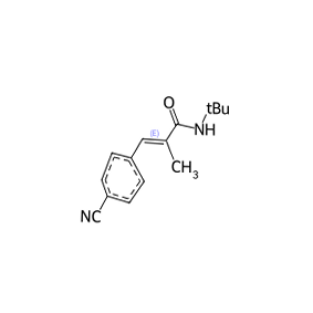 C/C(=C\c1ccc(C#N)cc1)C(=O)NC(C)(C)C